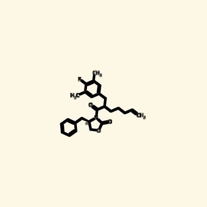 C=CCCCC(Cc1cc(C)c(F)c(C)c1)C(=O)N1C(=O)OC[C@H]1Cc1ccccc1